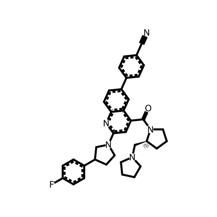 N#Cc1ccc(-c2ccc3nc(N4CCC(c5ccc(F)cc5)C4)cc(C(=O)N4CCC[C@H]4CN4CCCC4)c3c2)cc1